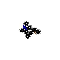 c1ccc(-c2nc3c4ccccc4c4cc(-c5ccccc5-c5ccc(-c6cccc7c6sc6ccccc67)cc5)ccc4n3c2-c2ccccc2)cc1